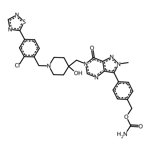 Cn1nc2c(=O)n(CC3(O)CCN(Cc4ccc(-c5ncns5)cc4Cl)CC3)cnc2c1-c1ccc(COC(N)=O)cc1